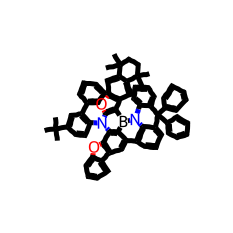 CC(C)(C)c1ccc(N2c3oc4cc5c(cc4c3B3c4c(cc6c(oc7ccccc76)c42)-c2cccc4c2N3c2ccccc2C4(c2ccccc2)c2ccccc2)C(C)(C)CCC5(C)C)c(-c2ccccc2)c1